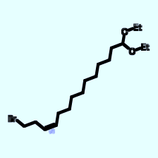 CCOC(CCCCCCCCC/C=C\CCBr)OCC